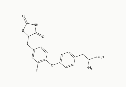 NC(Cc1ccc(Oc2ccc(CC3SC(=O)NC3=O)cc2F)cc1)C(=O)O